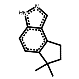 CC1(C)CCc2c1ccc1[nH]ncc21